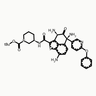 CC(C)(C)OC(=O)N1CCC[C@@H](NC(=O)c2sc3c(N)ccc4c3c2[C@@H](N)C(=O)[C@]4(N)c2ccc(Oc3ccccc3)nc2)C1